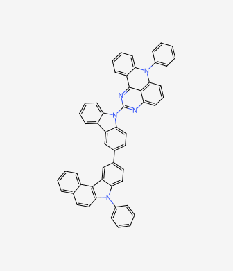 c1ccc(N2c3ccccc3-c3nc(-n4c5ccccc5c5cc(-c6ccc7c(c6)c6c8ccccc8ccc6n7-c6ccccc6)ccc54)nc4cccc2c34)cc1